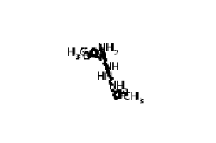 COc1cccc(CNCCNCCNCCN(CCN)Cc2cccc(OC)c2)c1